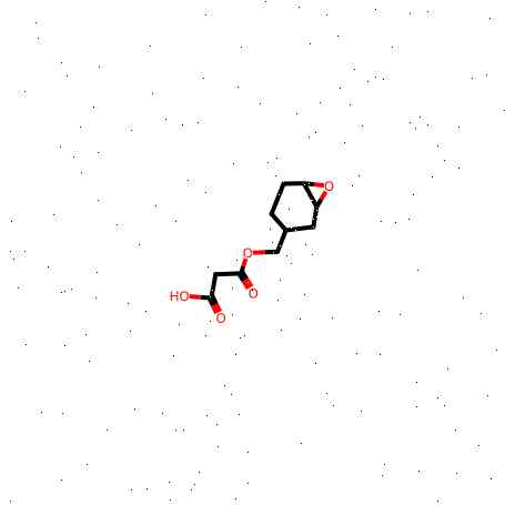 O=C(O)CC(=O)OCC1CCC2OC2C1